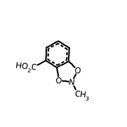 CN1Oc2cccc(C(=O)O)c2O1